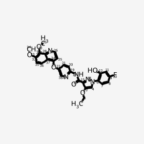 CCOc1cn(-c2ccc(F)cc2O)nc1C(=O)Nc1ccc(Oc2ccnc3c(OC)c(OC)ccc23)cn1